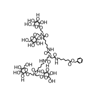 O=C(CN(CC(=O)NCCCCCC(=O)N(CCO[C@H]1O[C@H](CO)[C@@H](O)[C@H](O)[C@@H]1O)CCO[C@H]1O[C@H](CO)[C@@H](O)[C@H](O)[C@@H]1O)CC(=O)NCCCCCC(=O)N(CCO[C@H]1O[C@H](CO)[C@@H](O)[C@H](O)[C@@H]1O)CCO[C@H]1O[C@H](CO)[C@@H](O)[C@H](O)[C@@H]1O)NCCCCCC(=O)OCc1ccccc1